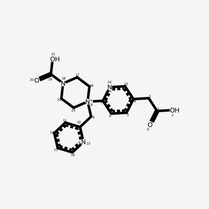 O=C(O)Cc1ccc([N+]2(Cc3ccccn3)CCN(C(=O)O)CC2)nc1